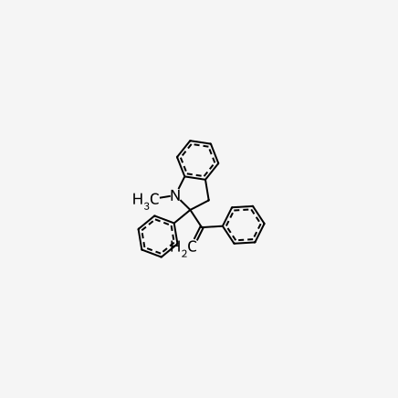 C=C(c1ccccc1)C1(c2ccccc2)Cc2ccccc2N1C